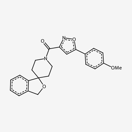 COc1ccc(-c2cc(C(=O)N3CCC4(CC3)OCc3ccccc34)no2)cc1